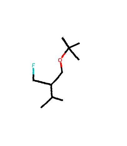 CC(C)C(CF)COC(C)(C)C